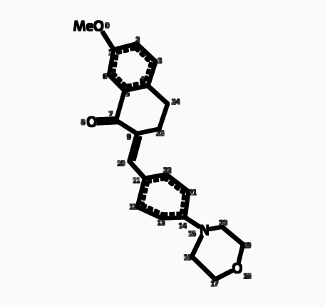 COc1ccc2c(c1)C(=O)C(=Cc1ccc(N3CCOCC3)cc1)CC2